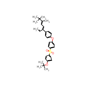 C=C/C(=C\C=C(/C)C(C)(C)C)c1ccc(Oc2ccc(S(=O)(=O)c3ccc(OC(C)(C)C)cc3)cc2)cc1